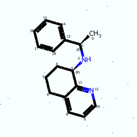 C[C@@H](N[C@@H]1CCCc2cccnc21)c1ccccc1